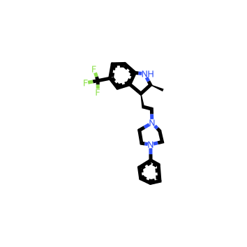 C[C@@H]1Nc2ccc(C(F)(F)F)cc2[C@@H]1CCN1CCN(c2ccccc2)CC1